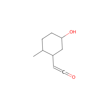 CC1CCC(O)CC1C=C=O